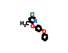 Cc1cc(Cl)cnc1Oc1ccc(Oc2ccccc2)cc1